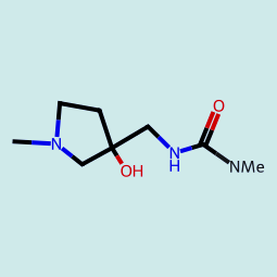 CNC(=O)NCC1(O)CCN(C)C1